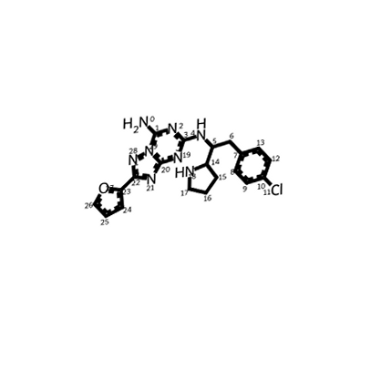 Nc1nc(NC(Cc2ccc(Cl)cc2)C2CCCN2)nc2nc(-c3ccco3)nn12